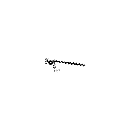 CCCCCCCCCCCCCCCCCCCCCc1nc2cc(C(=O)N(C)C)ccc2n1CCN(C)C.Cl